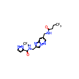 O=C(CCC(F)(F)F)NCc1cnn2cc(CNC(=O)c3ccnn3C(F)(F)F)nc2c1